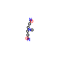 c1ccc(-n2c3cc(-c4ccc(-c5cnco5)cc4)ccc3c3ccc(-c4ccc(-c5cnco5)cc4)cc32)cc1